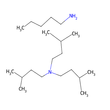 CC(C)CCN(CCC(C)C)CCC(C)C.CCCCCN